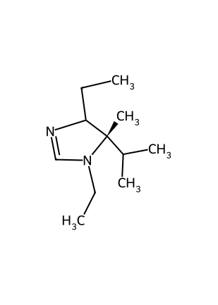 CCC1N=CN(CC)[C@@]1(C)C(C)C